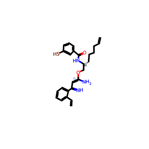 C=CCCCC[C@H](CO/C(N)=C/C(=N)c1ccccc1C=C)NC(=O)c1cccc(S)c1